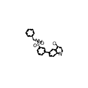 O=S(=O)(NCc1ccccc1)c1cccc(-c2ccc3nccc(Cl)c3c2)c1